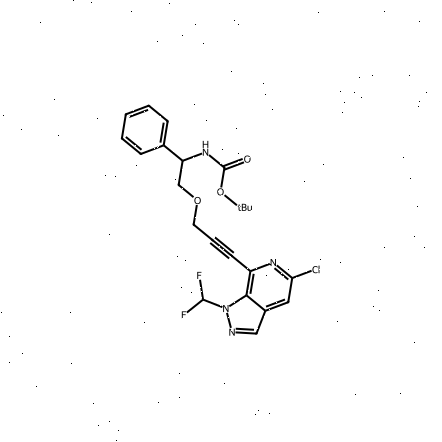 CC(C)(C)OC(=O)NC(COCC#Cc1nc(Cl)cc2cnn(C(F)F)c12)c1ccccc1